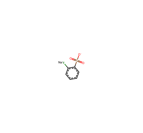 O=S(=O)([O-])c1ccccc1F.[Na+]